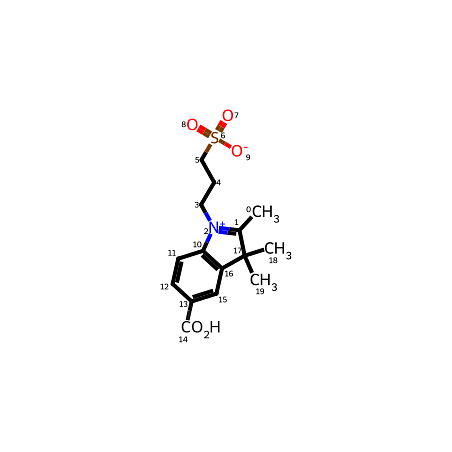 CC1=[N+](CCCS(=O)(=O)[O-])c2ccc(C(=O)O)cc2C1(C)C